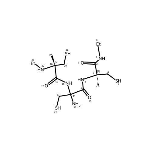 CCNC(=O)[C@@](C)(CS)NC(=O)C(N)(CS)NC(=O)[C@@](C)(CS)NCC